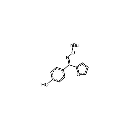 CCCCON=C(c1ccc(O)cc1)c1ccco1